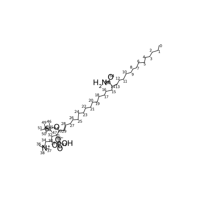 CCCCCCCCCCCCCC[C@@H](CCCCCCCCCCCCCC=CC(CCC(C[N+](C)(C)C)OP(=O)([O-])O)O[Si](C)(C)C(C)(C)C)C(N)=O